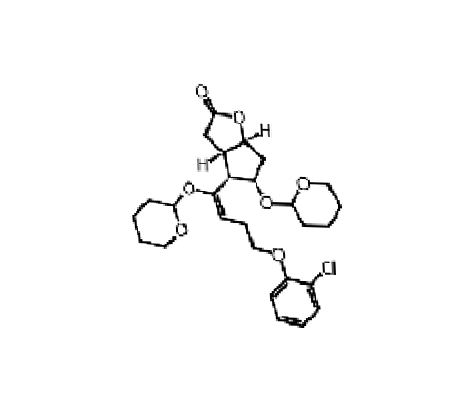 O=C1C[C@H]2[C@H](/C(=C\CCOc3ccccc3Cl)OC3CCCCO3)[C@H](OC3CCCCO3)C[C@H]2O1